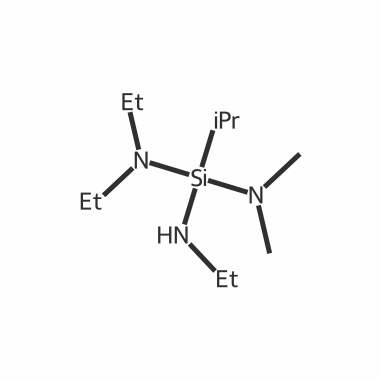 CCN[Si](C(C)C)(N(C)C)N(CC)CC